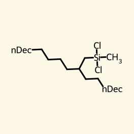 CCCCCCCCCCCCCCC(CCCCCCCCCCCC)C[Si](C)(Cl)Cl